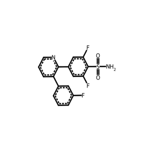 NS(=O)(=O)c1c(F)cc(-c2ncccc2-c2cccc(F)c2)cc1F